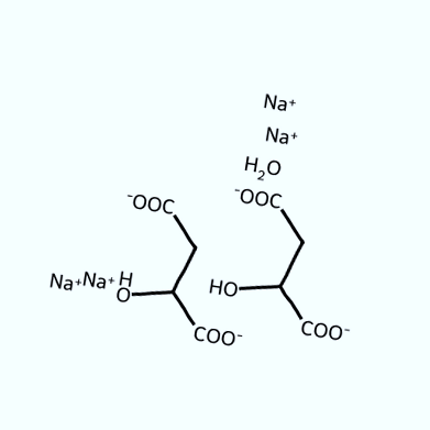 O.O=C([O-])CC(O)C(=O)[O-].O=C([O-])CC(O)C(=O)[O-].[Na+].[Na+].[Na+].[Na+]